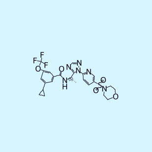 C[C@H](NC(=O)c1cc(OC(F)(F)F)cc(C2CC2)c1)c1ncnn1-c1ccc(S(=O)(=O)N2CCOCC2)cn1